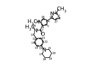 Cc1nc(-c2cc(C(=O)N(C)Cc3ccc(N4CCCCC4)cc3)n(C)c2)cs1